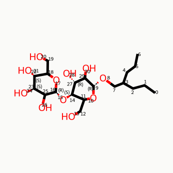 CCCC(CCC)CO[C@@H]1OC(CO)[C@@H](O[C@H]2OC(CO)[C@@H](O)[C@H](O)C2O)[C@H](O)C1O